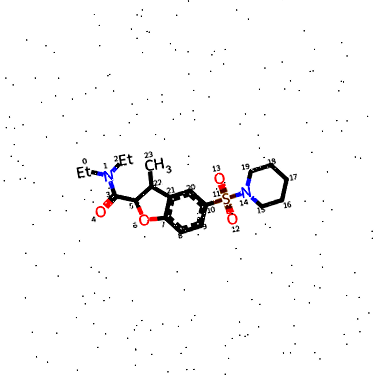 CCN(CC)C(=O)C1Oc2ccc(S(=O)(=O)N3CCCCC3)cc2C1C